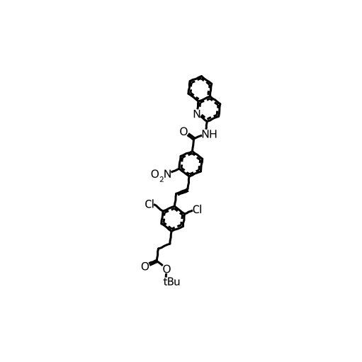 CC(C)(C)OC(=O)CCc1cc(Cl)c(C=Cc2ccc(C(=O)Nc3ccc4ccccc4n3)cc2[N+](=O)[O-])c(Cl)c1